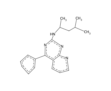 CC(C)CC(C)Nc1nc(-c2ccccc2)c2cccnc2n1